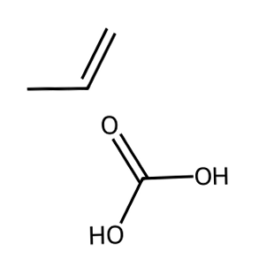 C=CC.O=C(O)O